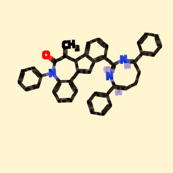 C=C1C(=O)N(c2ccccc2)c2ccccc2C2=Cc3c(C4=N/C(c5ccccc5)=C\CC/C(c5ccccc5)=N\4)cccc3C12